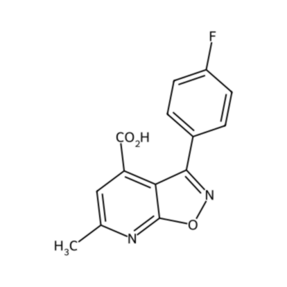 Cc1cc(C(=O)O)c2c(-c3ccc(F)cc3)noc2n1